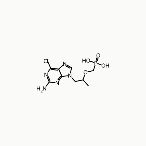 CC(Cn1cnc2c(Cl)nc(N)nc21)OCP(=O)(O)O